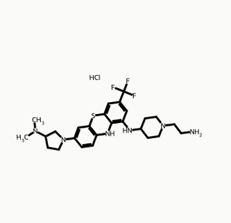 CN(C)C1CCN(c2ccc3c(c2)Sc2cc(C(F)(F)F)cc(NC4CCN(CCN)CC4)c2N3)C1.Cl